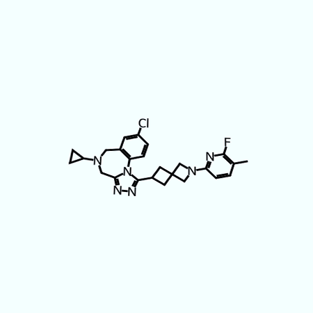 Cc1ccc(N2CC3(CC(c4nnc5n4-c4ccc(Cl)cc4CN(C4CC4)C5)C3)C2)nc1F